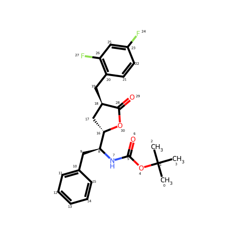 CC(C)(C)OC(=O)N[C@@H](Cc1ccccc1)[C@@H]1C[C@@H](Cc2ccc(F)cc2F)C(=O)O1